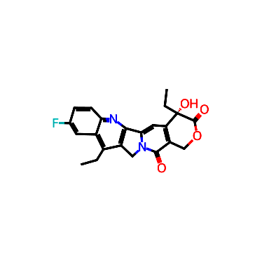 CCc1c2c(nc3ccc(F)cc13)-c1cc3c(c(=O)n1C2)COC(=O)[C@]3(O)CC